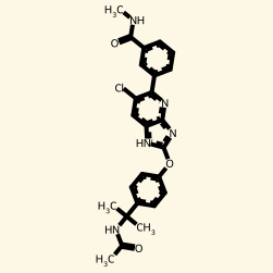 CNC(=O)c1cccc(-c2nc3nc(Oc4ccc(C(C)(C)NC(C)=O)cc4)[nH]c3cc2Cl)c1